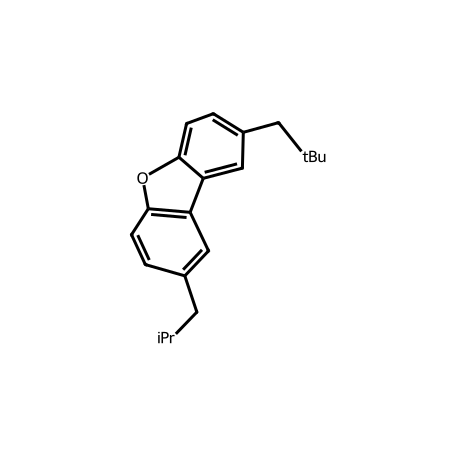 CC(C)Cc1ccc2oc3ccc(CC(C)(C)C)cc3c2c1